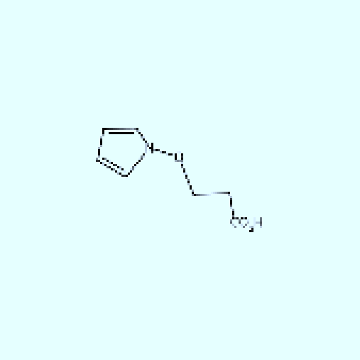 O=C(O)CCOn1cccc1